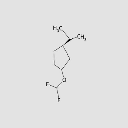 CC(C)[C@@H]1CCC(OC(F)F)C1